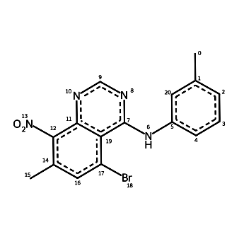 Cc1cccc(Nc2ncnc3c([N+](=O)[O-])c(C)cc(Br)c23)c1